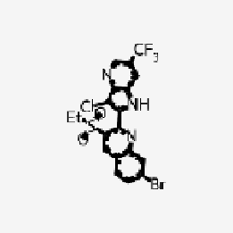 CCS(=O)(=O)c1cc2ccc(Br)cc2nc1-c1[nH]c2cc(C(F)(F)F)cnc2c1Cl